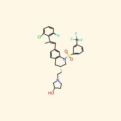 C/C(=C\c1ccc2c(c1)N(S(=O)(=O)c1cccc(C(F)(F)F)c1)C[C@H](CCN1CCC(O)C1)C2)c1c(F)cccc1Cl